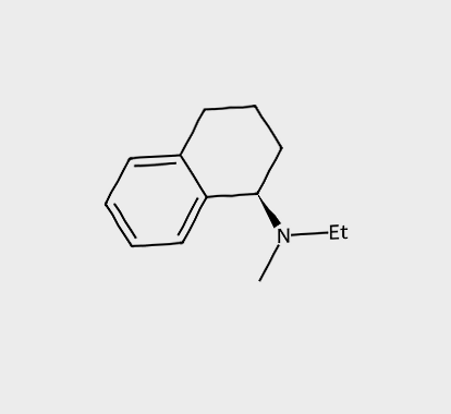 CCN(C)[C@@H]1CCCc2ccccc21